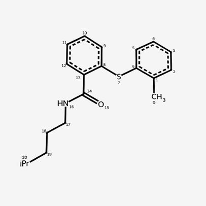 Cc1ccccc1Sc1ccccc1C(=O)NCCCC(C)C